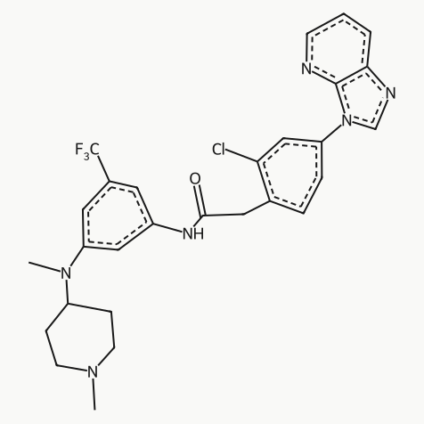 CN1CCC(N(C)c2cc(NC(=O)Cc3ccc(-n4cnc5cccnc54)cc3Cl)cc(C(F)(F)F)c2)CC1